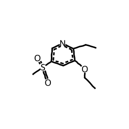 CCOc1cc(S(C)(=O)=O)cnc1CC